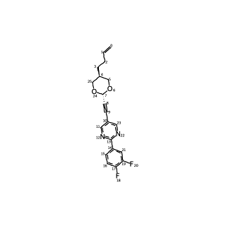 C=CCC[C@H]1CO[C@H](C#Cc2cnc(-c3ccc(F)c(F)c3)nc2)OC1